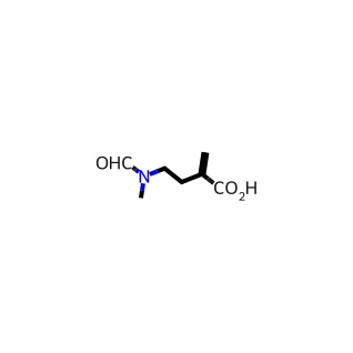 C=C(CCN(C)C=O)C(=O)O